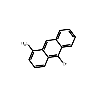 CCc1c2ccccc2cc2c(C)cccc12